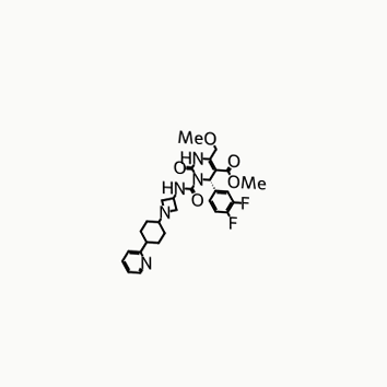 COCC1=C(C(=O)OC)[C@H](c2ccc(F)c(F)c2)N(C(=O)NC2CN(C3CCC(c4ccccn4)CC3)C2)C(=O)N1